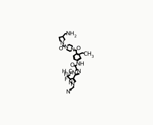 CCc1cc(NC(=O)c2ncc(-c3cn(CC#N)nc3C(F)(F)F)n2C)ccc1C(=O)N1CCN(C(=O)N2CCC(CN)C2)CC1